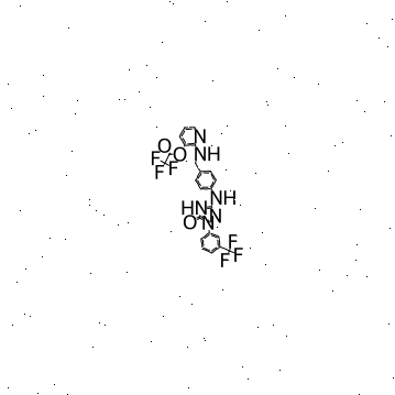 O=C(Oc1cccnc1NCc1ccc(Nc2nn(-c3cccc(C(F)(F)F)c3)c(=O)[nH]2)cc1)C(F)(F)F